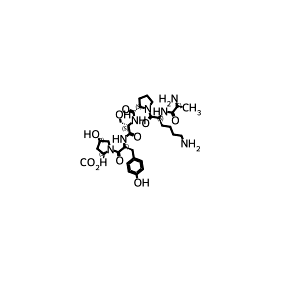 C[C@H](N)C(=O)N[C@@H](CCCCN)C(=O)N1CCC[C@H]1C(=O)N[C@@H](CO)C(=O)N[C@@H](Cc1ccc(O)cc1)C(=O)N1C[C@H](O)C[C@H]1C(=O)O